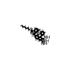 CCCCCCOC(=O)c1cccc(Oc2c(C(C)(C)C)ccc3cc4c(c(-c5cccc(Br)c5)c23)C(=N)NC4=N)c1